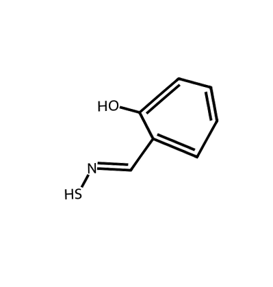 Oc1ccccc1C=NS